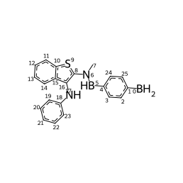 Bc1ccc(BN(C)c2sc3ccccc3c2Nc2ccccc2)cc1